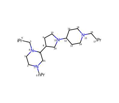 CCCN1CCN(CC(C)C)C(C2CCN(C3CCN(CC(C)C)CC3)C2)C1